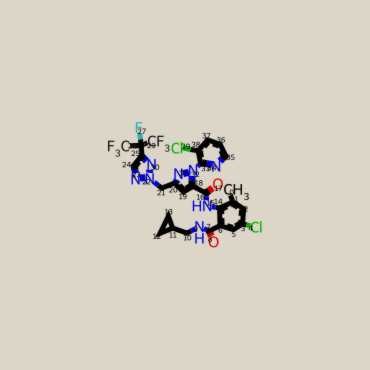 Cc1cc(Cl)cc(C(=O)NCC2CC2)c1NC(=O)c1cc(Cn2ncc(C(F)(C(F)(F)F)C(F)(F)F)n2)nn1-c1ncccc1Cl